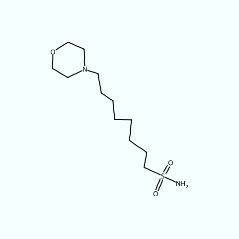 NS(=O)(=O)CCCCCCCCN1CCOCC1